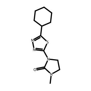 CN1CCN(c2nnc(C3CCCCC3)s2)C1=O